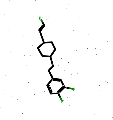 FC=CC1CCC(CCc2ccc(F)c(F)c2)CC1